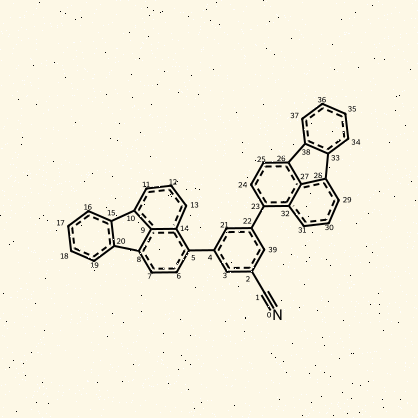 N#Cc1cc(-c2ccc3c4c(cccc24)-c2ccccc2-3)cc(-c2ccc3c4c(cccc24)-c2ccccc2-3)c1